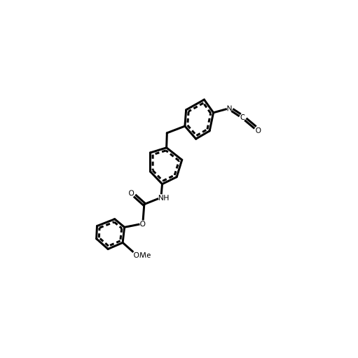 COc1ccccc1OC(=O)Nc1ccc(Cc2ccc(N=C=O)cc2)cc1